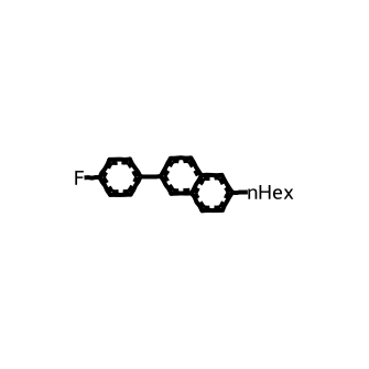 CCCCCCc1ccc2cc(-c3ccc(F)cc3)ccc2c1